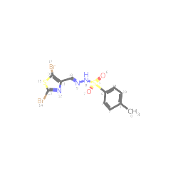 Cc1ccc(S(=O)(=O)N/N=C/c2nc(Br)sc2Br)cc1